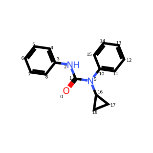 O=C(Nc1ccccc1)N(c1ccccc1)C1CC1